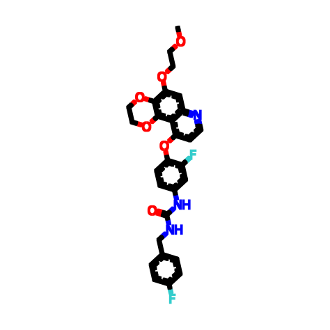 COCCOc1cc2nccc(Oc3ccc(NC(=O)NCc4ccc(F)cc4)cc3F)c2c2c1OCCO2